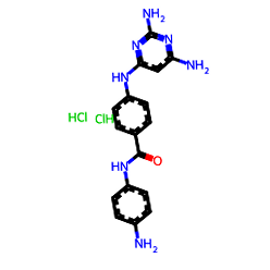 Cl.Cl.Nc1ccc(NC(=O)c2ccc(Nc3cc(N)nc(N)n3)cc2)cc1